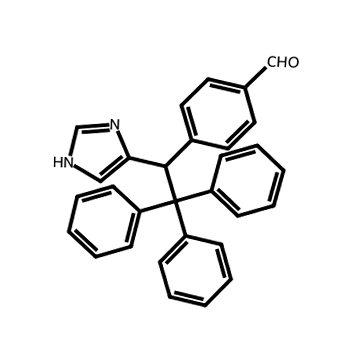 O=Cc1ccc(C(c2c[nH]cn2)C(c2ccccc2)(c2ccccc2)c2ccccc2)cc1